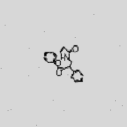 O=C1C=CC(=O)N1CC(c1ccccc1)C1OC1c1ccccc1